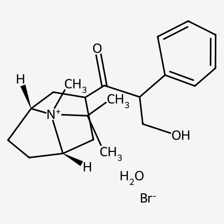 CC(C)[N+]1(C)[C@@H]2CC[C@H]1CC(C(=O)C(CO)c1ccccc1)C2.O.[Br-]